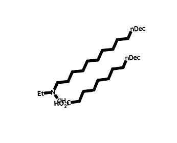 CCCCCCCCCCCCCCCCCC(=O)O.CCCCCCCCCCCCCCCCCCCCN(C)CC